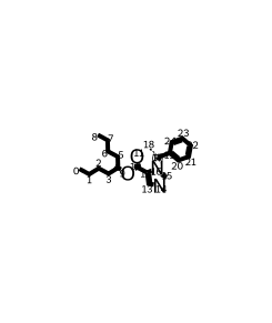 CCCCC(CCCC)OC(=O)c1cncn1[C@H](C)c1ccccc1